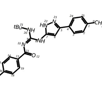 Cc1ccc(-c2cc(N/C(=N\C(=O)c3ccc(C(F)(F)F)cc3)NC(C)(C)C)[nH]n2)cc1